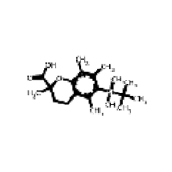 Cc1c(C)c([Si](C)(C)C(C)(C)C)c(C)c2c1OC(C)(C(=O)O)CC2